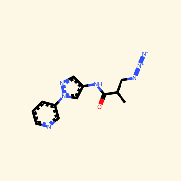 CC(CN=[N+]=[N-])C(=O)Nc1cnn(-c2cccnc2)c1